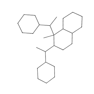 CC(C1CCCCC1)C1CCC2CCCCC2C1(C)C(C)C1CCCCC1